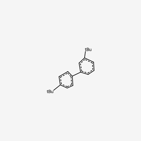 CC(C)(C)c1ccc(-c2cccc(C(C)(C)C)c2)cc1